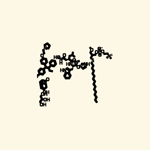 CC/C(=C(\c1ccc(I)cc1)c1ccc(OCCN2CCCC2)cc1)c1ccccc1.CCCCCCCCCCCCCCCCSCC(COC)COP(=O)([O-])OCC[N+](C)(C)C.CNC(=O)[C@H](Cc1c[nH]c2ccccc12)NC(=O)[C@@H](CC(=O)NO)CC(C)C.O=C1C2CC3CC1CC(O)(C3)C2.OCC(O)CO.c1c[nH]cn1